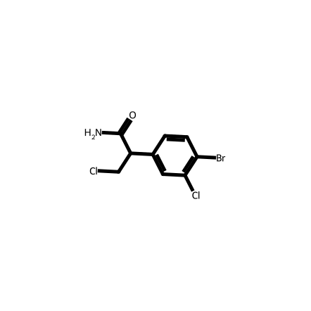 NC(=O)C(CCl)c1ccc(Br)c(Cl)c1